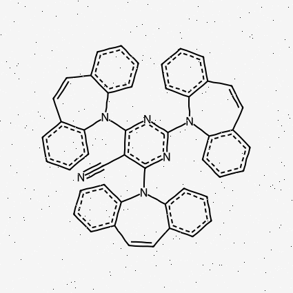 N#Cc1c(N2c3ccccc3C=Cc3ccccc32)nc(N2c3ccccc3C=Cc3ccccc32)nc1N1c2ccccc2C=Cc2ccccc21